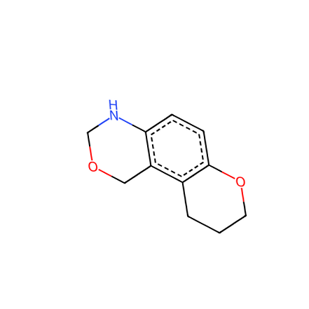 c1cc2c(c3c1NCOC3)CCCO2